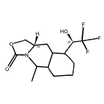 CC1C2CCCC([C@@H](O)C(F)(F)F)C2C[C@H]2COC(=O)N12